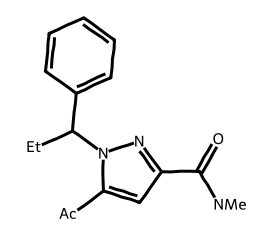 CCC(c1ccccc1)n1nc(C(=O)NC)cc1C(C)=O